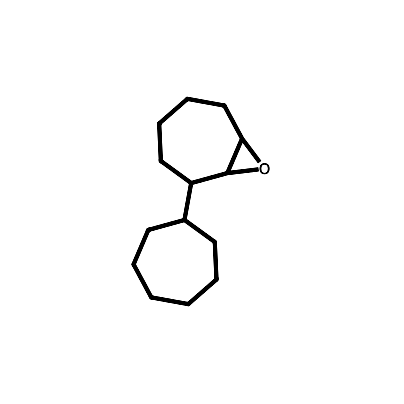 C1CCCC(C2CCCCC3OC32)CC1